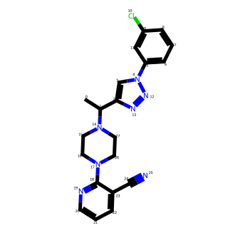 CC(c1cn(-c2cccc(Cl)c2)nn1)N1CCN(c2ncccc2C#N)CC1